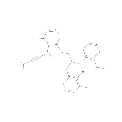 Cc1cccc2cc(Cn3nc(C#CC(C)C)c4c(N)ncnc43)n(-c3ccccc3C(C)C)c(=O)c12